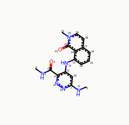 CNC(=O)c1nnc(NC)cc1Nc1cccc2ccn(C)c(=O)c12